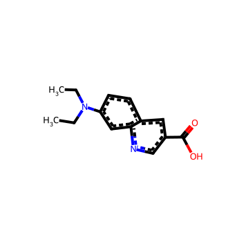 CCN(CC)c1ccc2cc(C(=O)O)cnc2c1